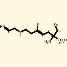 N=CCNCCC(F)=CCC(N)(CF)C(=O)O